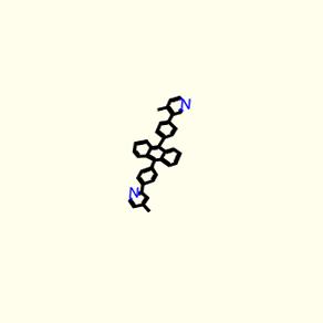 Cc1ccnc(-c2ccc(-c3c4ccccc4c(-c4ccc(-c5cnccc5C)cc4)c4ccccc34)cc2)c1